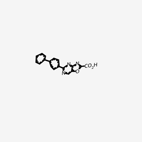 O=C(O)c1nc2nc(-c3ccc(-c4ccccc4)cc3)ncc2o1